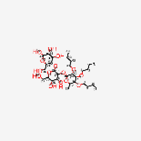 CCCCOC1[C@H](OCCCC)C(C)O[C@@H](OC2C(O)[C@@H](O)C(CO)O[C@H]2O[C@@H]2C(CO)OC(O)[C@@H](O)C2O)[C@H]1OCCCC